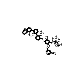 Cc1c(COc2cc(OCc3cncc(C#N)c3)c(CN[C@@](C)(CO)C(=O)O)cc2Cl)cccc1-c1cccc(-c2ccc3c(c2)C2CCC(C3)N2)c1C